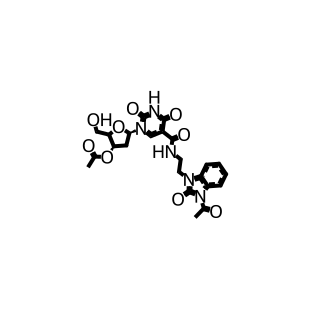 CC(=O)O[C@@H]1C[C@H](n2cc(C(=O)NCCn3c(=O)n(C(C)=O)c4ccccc43)c(=O)[nH]c2=O)OC1CO